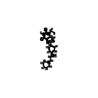 CC(C)n1c(=O)n(C)c(=O)c2nc(-c3ccc(NCCN4CCCCC4)cc3)ncc21